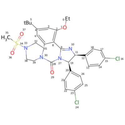 CCOc1cc(C(C)(C)C)ccc1C1=N[C@@H](c2ccc(Cl)cc2)[C@@H](c2ccc(Cl)cc2)N1C(=O)N1CCN(S(C)(=O)=O)CC1